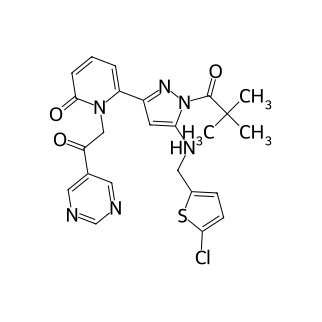 CC(C)(C)C(=O)n1nc(-c2cccc(=O)n2CC(=O)c2cncnc2)cc1NCc1ccc(Cl)s1